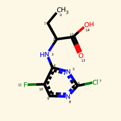 CCC(Nc1nc(Cl)ncc1F)C(=O)O